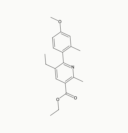 CCOC(=O)c1cc(CC)c(-c2ccc(OC)cc2C)nc1C